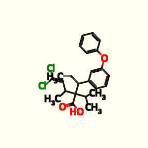 CCC(c1cccc(Oc2ccccc2)c1)C(C(=O)O)(C(C)C)C(C)C=C(Cl)Cl